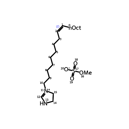 CCCCCCCC/C=C\CCCCCCCC[N+]1=CNCC1.COS(=O)(=O)[O-]